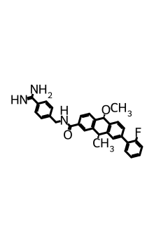 CO[C@@H]1c2ccc(C(=O)NCc3ccc(C(=N)N)cc3)cc2[C@H](C)c2cc(-c3ccccc3F)ccc21